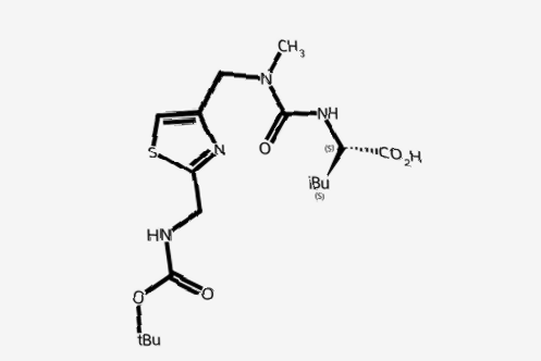 CC[C@H](C)[C@H](NC(=O)N(C)Cc1csc(CNC(=O)OC(C)(C)C)n1)C(=O)O